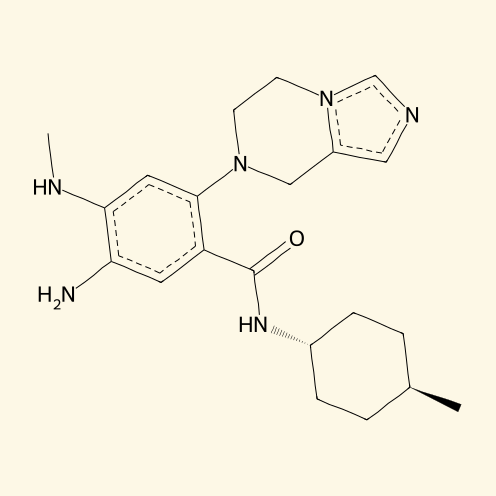 CNc1cc(N2CCn3cncc3C2)c(C(=O)N[C@H]2CC[C@H](C)CC2)cc1N